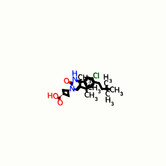 CC(C)C1=CN([C@H]2C[C@@H](C(=O)O)C2)C(=O)N[C@@]1(C)c1ccc(CCC(C)(C)C)c(Cl)c1